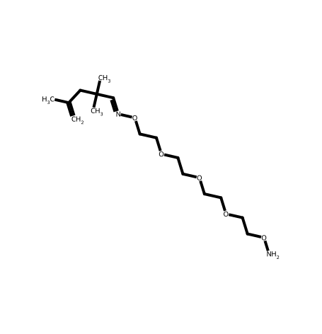 C=C(C)CC(C)(C)/C=N/OCCOCCOCCOCCON